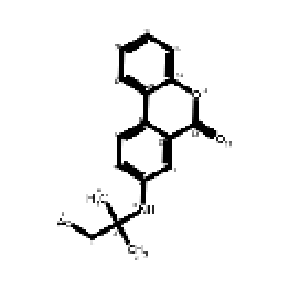 CC(=O)CC(C)(C)Nc1ccc2c(c1)c(=O)oc1ccccc12